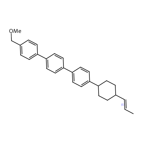 C/C=C/C1CCC(c2ccc(-c3ccc(-c4ccc(COC)cc4)cc3)cc2)CC1